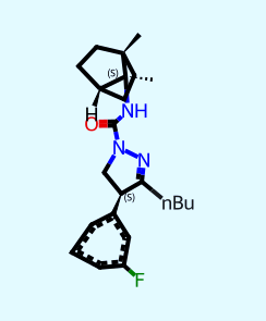 CCCCC1=NN(C(=O)N[C@@]2(C)[C@H]3CC[C@]2(C)CC3)C[C@@H]1c1cccc(F)c1